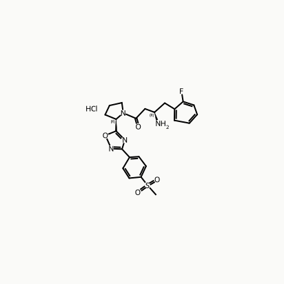 CS(=O)(=O)c1ccc(-c2noc([C@H]3CCCN3C(=O)C[C@H](N)Cc3ccccc3F)n2)cc1.Cl